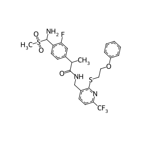 CC(C(=O)NCc1ccc(C(F)(F)F)nc1SCCOc1ccccc1)c1ccc(C(N)S(C)(=O)=O)c(F)c1